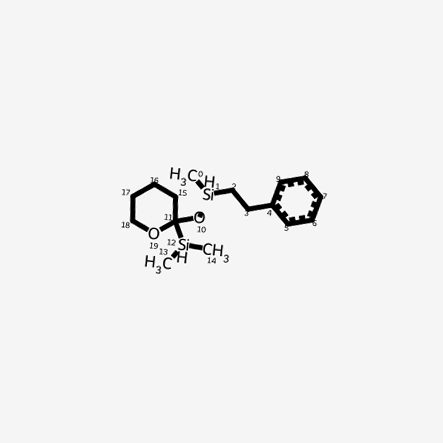 C[SiH](CCc1ccccc1)OC1([SiH](C)C)CCCCO1